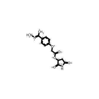 CC(=NN)c1ccc(OCC(=O)OC2CC(=O)NC2=O)cc1